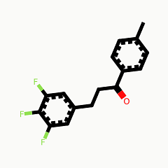 Cc1ccc(C(=O)CCc2cc(F)c(F)c(F)c2)cc1